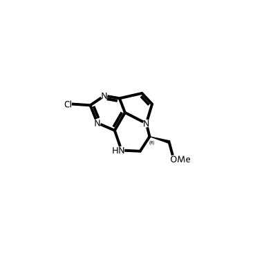 COC[C@H]1CNc2nc(Cl)nc3ccn1c23